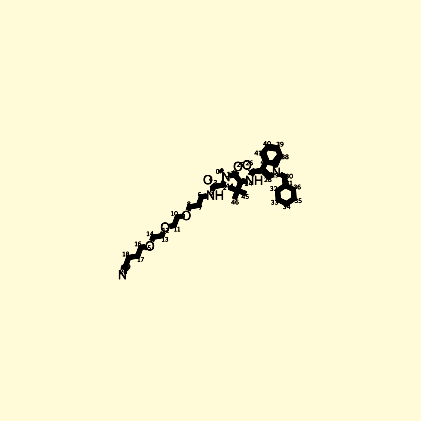 CN(CC(=O)NCCCOCCOCCOCCCC#N)C(=O)C(NC(=O)c1cn(CC2CCCCC2)c2ccccc12)C(C)(C)C